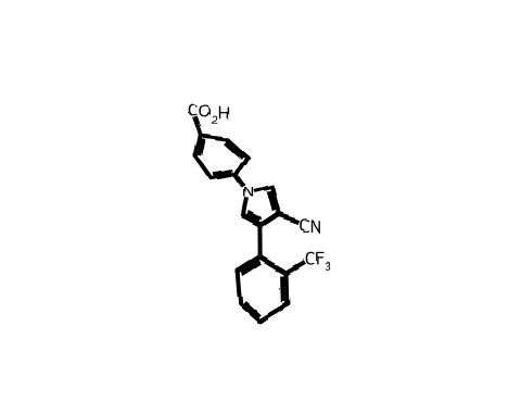 N#Cc1cn(-c2ccc(C(=O)O)cc2)cc1-c1ccccc1C(F)(F)F